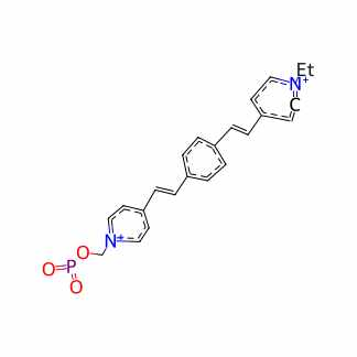 CC[n+]1ccc(/C=C/c2ccc(/C=C/c3cc[n+](COP(=O)=O)cc3)cc2)cc1